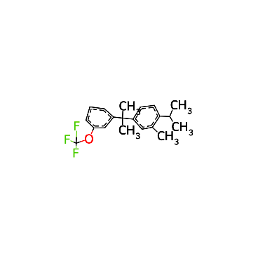 Cc1cc(C(C)(C)c2cccc(OC(F)(F)F)c2)ccc1C(C)C